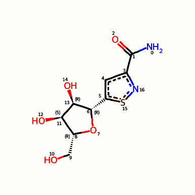 NC(=O)c1cc([C@@H]2O[C@H](CO)[C@@H](O)[C@H]2O)sn1